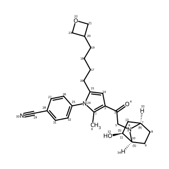 Cc1c(C(=O)CN2[C@@H]3CC[C@H]2[C@@H](O)C3)cc(CCCCC2COC2)n1-c1ccc(C#N)cc1